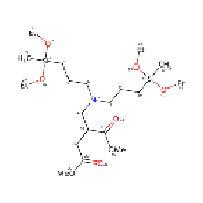 CCO[Si](C)(CCCN(CCC[Si](C)(OCC)OCC)CC(CC(=O)OC)C(=O)OC)OCC